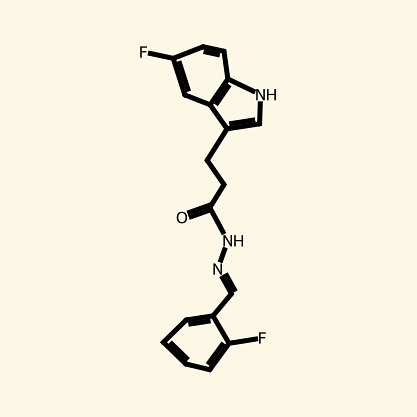 O=C(CCc1c[nH]c2ccc(F)cc12)N/N=C/c1ccccc1F